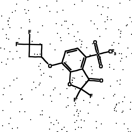 O=C1c2c(S(=O)(=O)C(F)(F)F)ccc(OC3CC(F)(F)C3)c2OC1(F)F